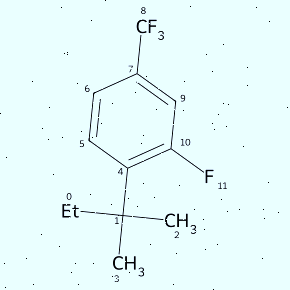 CCC(C)(C)c1ccc(C(F)(F)F)cc1F